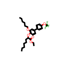 CCCCCCOc1cc(-c2ccc(OC(F)(F)F)cc2)ccc1OC(CCCCCC)C(=O)OCC